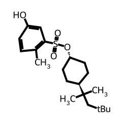 Cc1ccc(O)cc1S(=O)(=O)O[C@H]1CC[C@H](C(C)(C)CC(C)(C)C)CC1